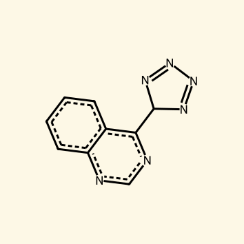 c1ccc2c(C3N=NN=N3)ncnc2c1